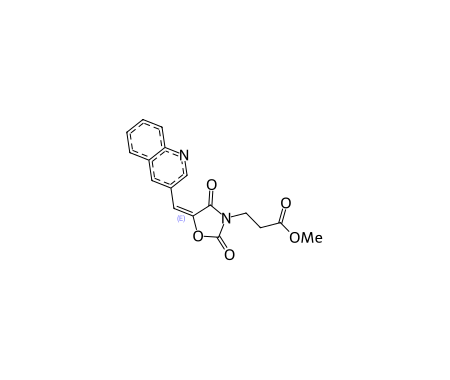 COC(=O)CCN1C(=O)O/C(=C/c2cnc3ccccc3c2)C1=O